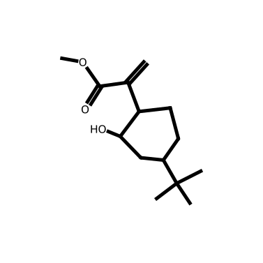 C=C(C(=O)OC)C1CCC(C(C)(C)C)CC1O